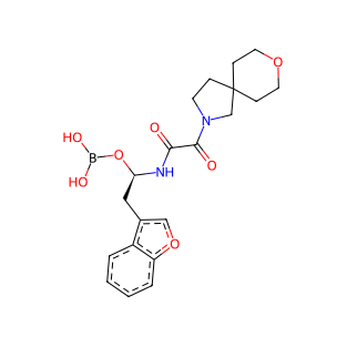 O=C(N[C@@H](Cc1coc2ccccc12)OB(O)O)C(=O)N1CCC2(CCOCC2)C1